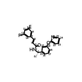 C[C@H](NC(=O)C=Cc1cc(F)cc(F)c1)c1cccc(Oc2ccccn2)c1